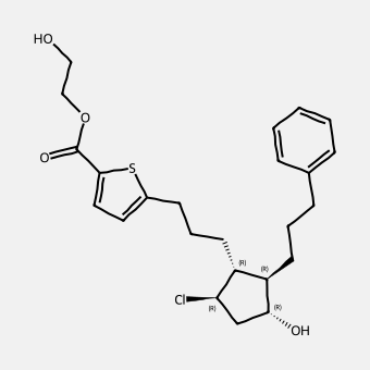 O=C(OCCO)c1ccc(CCC[C@@H]2[C@@H](CCCc3ccccc3)[C@H](O)C[C@H]2Cl)s1